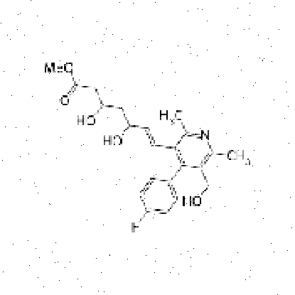 COC(=O)CC(O)CC(O)C=Cc1c(C)nc(C)c(CO)c1-c1ccc(F)cc1